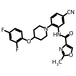 Cc1nc(C(=O)Nc2cc(C#N)ccc2N2CCC(Oc3ccc(F)cc3F)CC2)co1